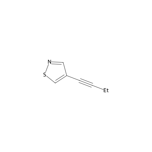 CCC#Cc1cnsc1